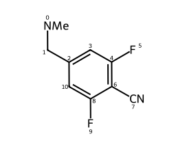 CNCc1cc(F)c(C#N)c(F)c1